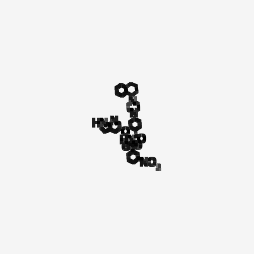 O=C(NS(=O)(=O)c1cccc([N+](=O)[O-])c1)c1ccc(N2CCN([C@H]3CCCc4ccccc43)CC2)cc1Oc1cnc2[nH]ccc2c1